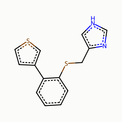 c1ccc(-c2ccsc2)c(SCc2c[nH]cn2)c1